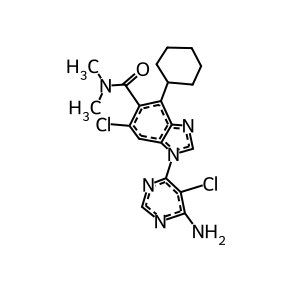 CN(C)C(=O)c1c(Cl)cc2c(ncn2-c2ncnc(N)c2Cl)c1C1CCCCC1